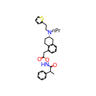 CCCN(CCc1cccs1)[C@H]1CCc2c(CC(=O)ONC(=O)C(C)c3ccccc3)cccc2C1